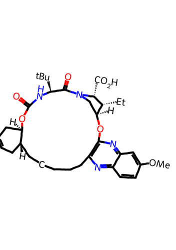 CC[C@@H]1[C@@H]2CN(C(=O)[C@H](C(C)(C)C)NC(=O)O[C@@H]3CC=CC[C@H]3CCCCCc3nc4ccc(OC)cc4nc3O2)[C@@H]1C(=O)O